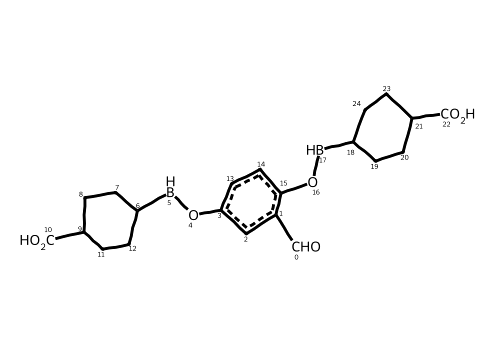 O=Cc1cc(OBC2CCC(C(=O)O)CC2)ccc1OBC1CCC(C(=O)O)CC1